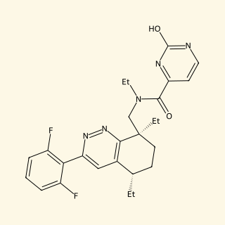 CC[C@H]1CC[C@](CC)(CN(CC)C(=O)c2ccnc(O)n2)c2nnc(-c3c(F)cccc3F)cc21